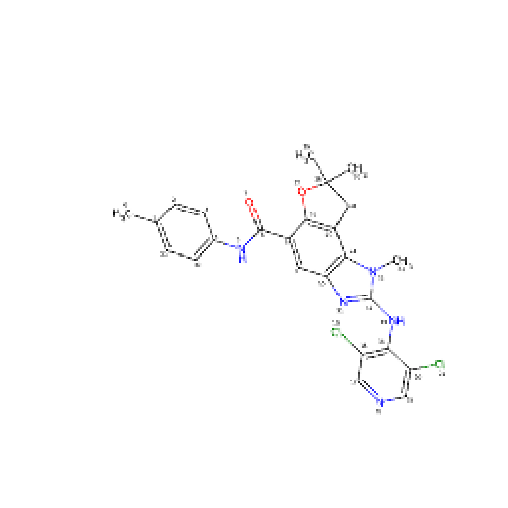 Cc1ccc(NC(=O)c2cc3nc(Nc4c(Cl)cncc4Cl)n(C)c3c3c2OC(C)(C)C3)cc1